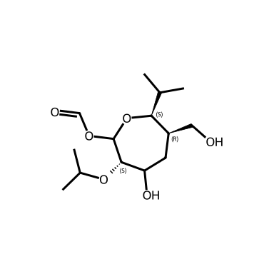 CC(C)O[C@H]1C(O)C[C@H](CO)[C@H](C(C)C)OC1OC=O